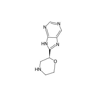 c1ncc2nc([C@@H]3CNCCO3)[nH]c2n1